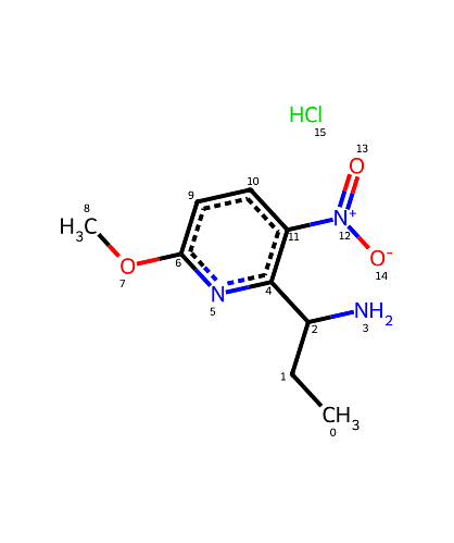 CCC(N)c1nc(OC)ccc1[N+](=O)[O-].Cl